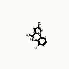 O=c1[nH]c2c(F)cccc2n2nc(Cl)cc12